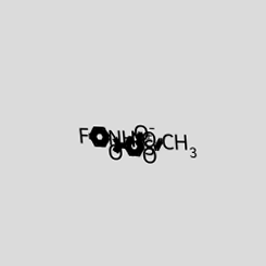 CCCS(=O)(=O)c1ccc(C(=O)Nc2ccc(F)cc2)c[n+]1[O-]